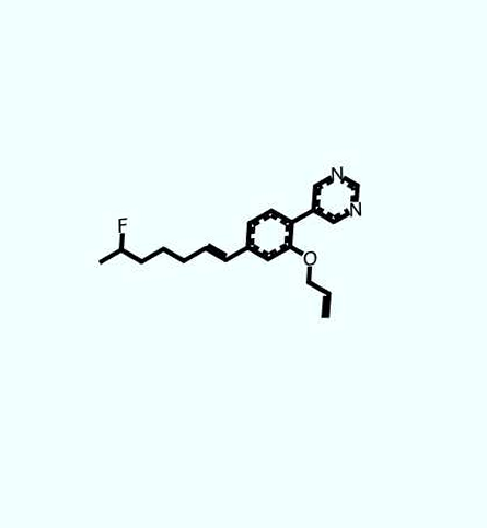 C=CCOc1cc(C=CCCCC(C)F)ccc1-c1cncnc1